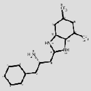 N[C@@H](CC1CCCCC1)CC1NC2CC(C(F)(F)F)CC(C(F)(F)F)C2N1